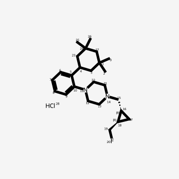 CC1(C)CC(c2ccccc2N2CCN(C[C@@H]3C[C@H]3CF)CC2)CC(C)(C)C1.Cl